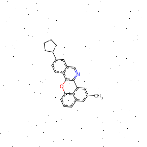 Cc1cc2c3c(cccc3c1)Oc1c-2ncc2cc(C3CCCC3)ccc12